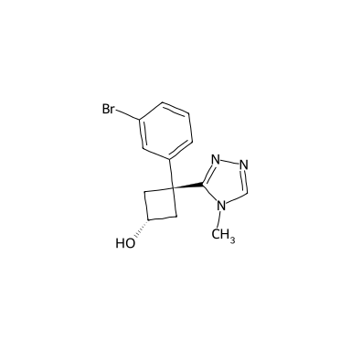 Cn1cnnc1[C@]1(c2cccc(Br)c2)C[C@@H](O)C1